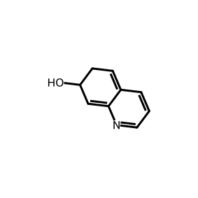 OC1C=c2ncccc2=CC1